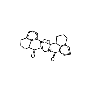 O=C1c2cccc3c2C(CCC3)C(=O)N1CN1C(=O)c2cccc3c2C(CCC3)C1=O